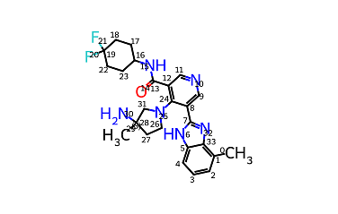 Cc1cccc2[nH]c(-c3cncc(C(=O)NC4CCC(F)(F)CC4)c3N3CC[C@](C)(N)C3)nc12